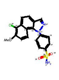 COc1ccc2c(ccc3[c]nn(-c4ccc(S(N)(=O)=O)cc4)c32)c1Cl